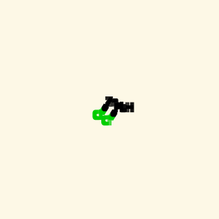 [Cl][PbH].[Cl][Zn]